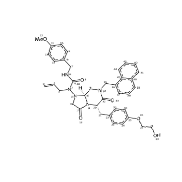 C=CCN(C(=O)NCc1ccc(OC)cc1)N1CC(=O)N2[C@@H](Cc3ccc(OCCO)cc3)C(=O)N(Cc3cccc4ccccc34)C[C@@H]21